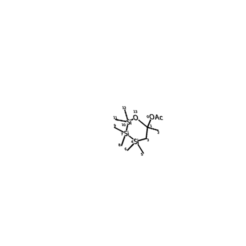 CC(=O)OC1(C)C[Si](C)(C)[Si](C)(C)[Si](C)(C)O1